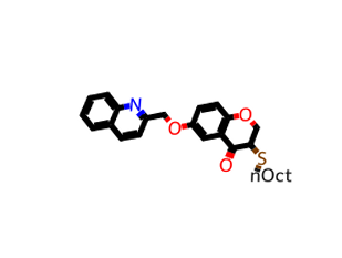 CCCCCCCCSC1COc2ccc(OCc3ccc4ccccc4n3)cc2C1=O